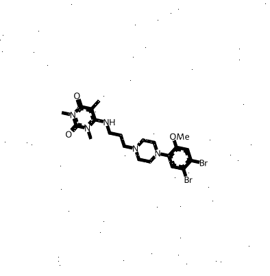 COc1cc(Br)c(Br)cc1N1CCN(CCCNc2c(C)c(=O)n(C)c(=O)n2C)CC1